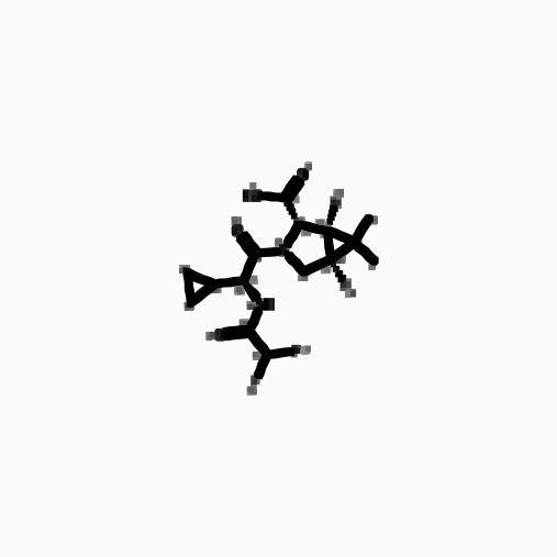 CC1(C)[C@@H]2[C@@H](C(=O)O)N(C(=O)[C@@H](NC(=O)C(F)F)C3CC3)C[C@@H]21